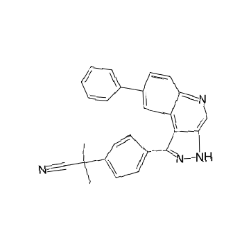 CC(C)(C#N)c1ccc(-c2n[nH]c3cnc4ccc(-c5ccccc5)cc4c23)cc1